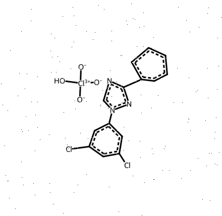 Clc1cc(Cl)cc(-n2cnc(-c3ccccc3)n2)c1.[O-][Cl+3]([O-])([O-])O